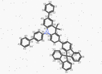 CC1(C)C2=CC(c3ccc4c(c3)C3(c5ccccc5-c5ccccc53)c3ccccc3-4)CC=C2N(c2ccc(-c3ccccc3)cc2)c2ccc(-c3ccccc3)cc21